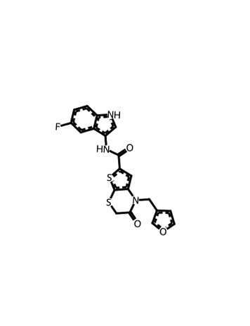 O=C(Nc1c[nH]c2ccc(F)cc12)c1cc2c(s1)SCC(=O)N2Cc1ccoc1